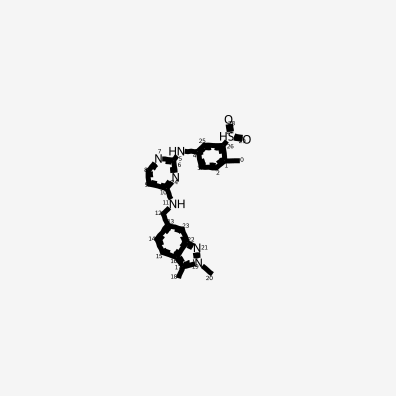 Cc1ccc(Nc2nccc(NCc3ccc4c(C)n(C)nc4c3)n2)cc1[SH](=O)=O